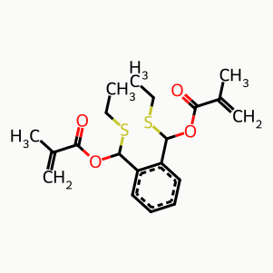 C=C(C)C(=O)OC(SCC)c1ccccc1C(OC(=O)C(=C)C)SCC